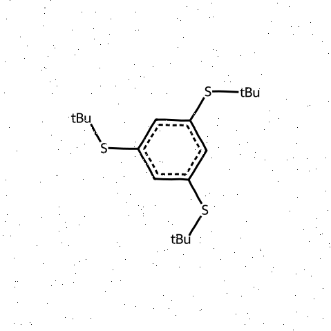 CC(C)(C)Sc1cc(SC(C)(C)C)cc(SC(C)(C)C)c1